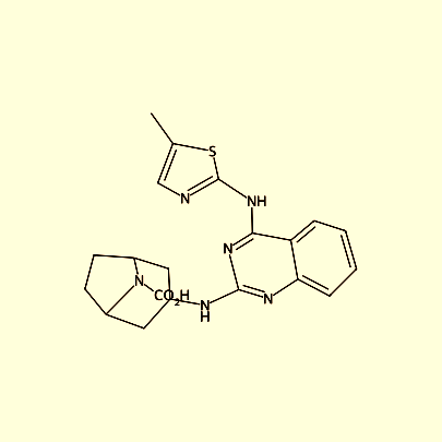 Cc1cnc(Nc2nc(NC3CC4CCC(C3)N4C(=O)O)nc3ccccc23)s1